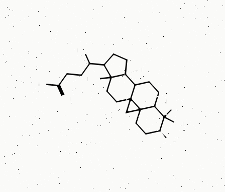 C=C(CCC(C)C1CC[C@@]2(C)C3CC[C@H]4C(C)(C)[C@@H](O)CCC45CC35CCC12C)C(C)C